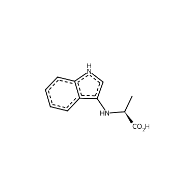 C[C@H](Nc1c[nH]c2ccccc12)C(=O)O